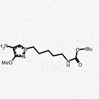 COc1nn(CCCCCNC(=O)OC(C)(C)C)cc1N